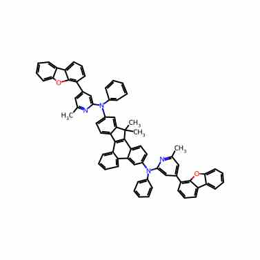 Cc1cc(-c2cccc3c2oc2ccccc23)cc(N(c2ccccc2)c2ccc3c(c2)C(C)(C)c2c-3c3ccccc3c3cc(N(c4ccccc4)c4cc(-c5cccc6c5oc5ccccc56)cc(C)n4)ccc23)n1